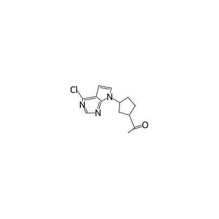 CC(=O)C1CCC(n2ccc3c(Cl)ncnc32)C1